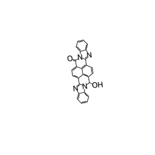 O=c1c2ccc3c4c(ccc(c42)c2nc4ccccc4n12)C(O)n1c-3nc2ccccc21